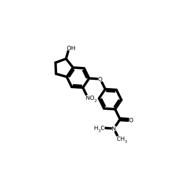 CN(C)C(=O)c1ccc(Oc2cc3c(cc2[N+](=O)[O-])CCC3O)cc1